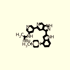 C=C(CCCC)Nc1cncc(-c2cc3c(-c4cc5c(N6CCN(C)CC6)cccc5[nH]4)n[nH]c3cn2)c1